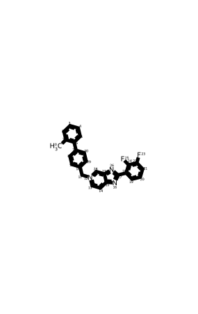 Cc1ccccc1-c1ccc(Cn2ccc3nc(-c4cccc(F)c4F)nc-3c2)cc1